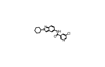 O=C(Nc1ccc2nn(C3CCCCC3)cc2c1)c1cncc(Cl)c1